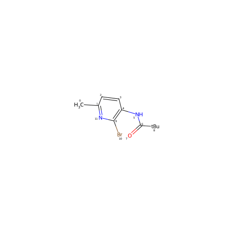 Cc1ccc(NC(=O)C(C)(C)C)c(Br)n1